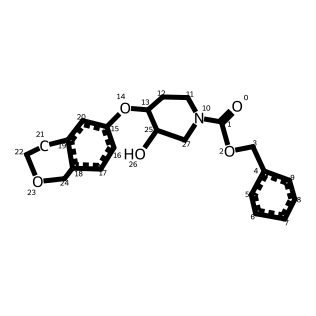 O=C(OCc1ccccc1)N1CCC(Oc2ccc3c(c2)CCOC3)C(O)C1